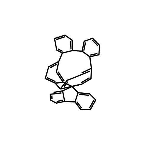 c1ccc2c(c1)-c1ccc3c(c1)C1(c4ccccc4-c4ccccc41)c1cc(ccc1-3)-c1ccccc1-2